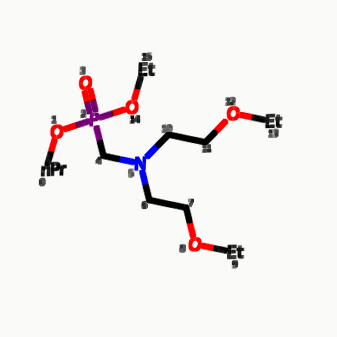 CCCOP(=O)(CN(CCOCC)CCOCC)OCC